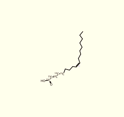 CCCCCCCC/C=C\CCC[13CH2][13CH2][13CH2][13CH2][13C](=O)O